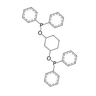 c1ccc(P(OC2CCCC(OP(c3ccccc3)c3ccccc3)C2)c2ccccc2)cc1